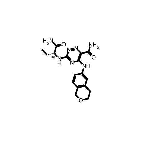 CC[C@@H](Nc1nnc(C(N)=O)c(Nc2ccc3c(c2)CCOC3)n1)C(N)=O